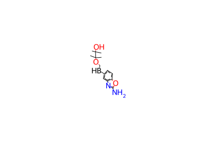 CC(C)(O)C(C)(C)OCBc1ccc2oc(N)nc2c1